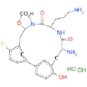 CN1C(=O)C(CCCN)NC(=O)C(N)Cc2cc(ccc2O)-c2ccc(F)c(c2)CC1OC(=O)O.Cl.Cl